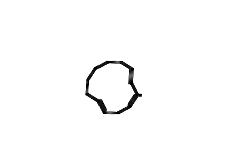 [C]1=C\C/C=C/CCCCC/C=C/1